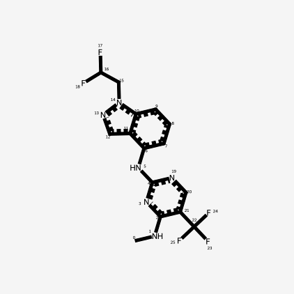 CNc1nc(Nc2cccc3c2cnn3CC(F)F)ncc1C(F)(F)F